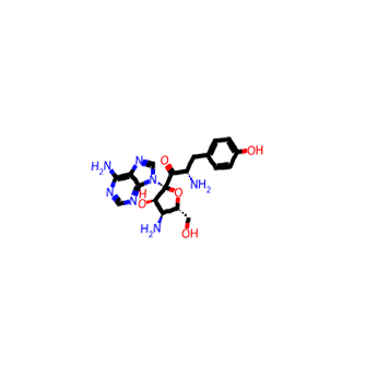 Nc1ncnc2c1ncn2[C@]1(C(=O)[C@@H](N)Cc2ccc(O)cc2)O[C@H](CO)[C@@H](N)[C@H]1O